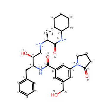 C[C@H](NC[C@H](O)[C@H](Cc1ccccc1)NC(=O)c1cc(CO)cc(N2CCCC2=O)c1)C(=O)NC1CCCCC1